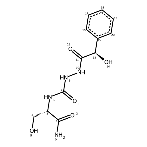 NC(=O)[C@H](CO)NC(=O)NNC(=O)[C@H](O)c1ccccc1